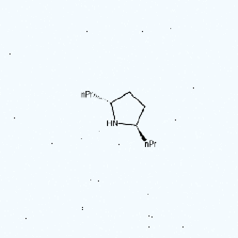 CCC[C@@H]1CC[C@@H](CCC)N1